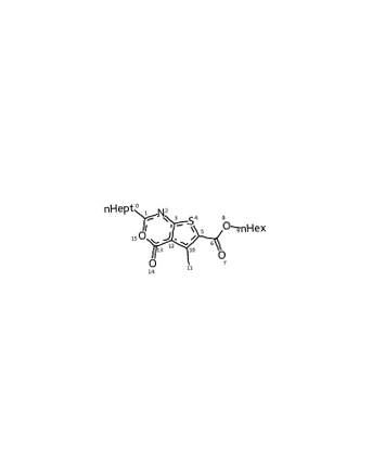 CCCCCCCc1nc2sc(C(=O)OCCCCCC)c(C)c2c(=O)o1